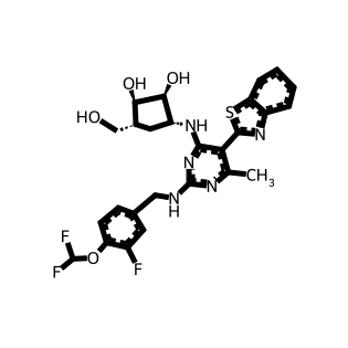 Cc1nc(NCc2ccc(OC(F)F)c(F)c2)nc(N[C@@H]2C[C@H](CO)[C@@H](O)[C@H]2O)c1-c1nc2ccccc2s1